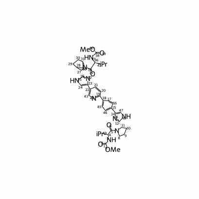 COC(=O)N[C@H](C(=O)N1CCC[C@H]1c1nc(-c2ccc(-c3ccc(-c4c[nH]c([C@@H]5C6CCC(C6)N5C(=O)[C@@H](NC(=O)OC)C(C)C)n4)cn3)cc2)c[nH]1)C(C)C